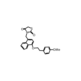 COc1ccc(CCOc2ccc(CN3C(=O)CSC3=O)c3ccccc23)cc1